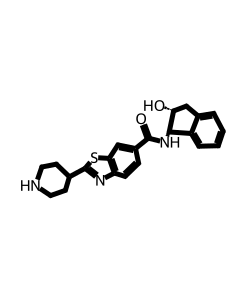 O=C(N[C@@H]1c2ccccc2C[C@H]1O)c1ccc2nc(C3CCNCC3)sc2c1